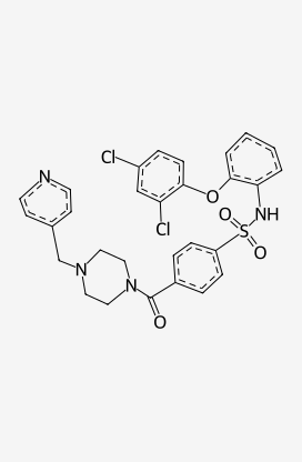 O=C(c1ccc(S(=O)(=O)Nc2ccccc2Oc2ccc(Cl)cc2Cl)cc1)N1CCN(Cc2ccncc2)CC1